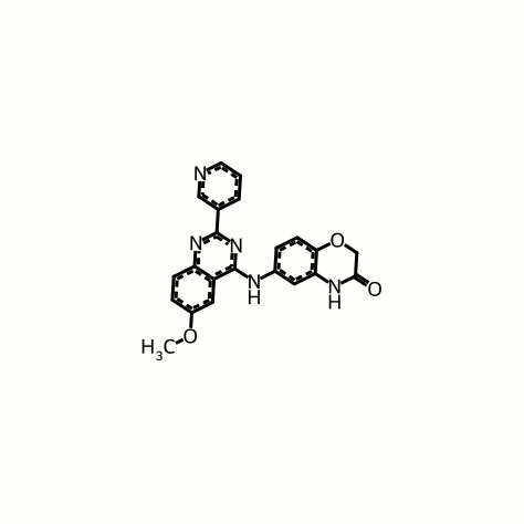 COc1ccc2nc(-c3cccnc3)nc(Nc3ccc4c(c3)NC(=O)CO4)c2c1